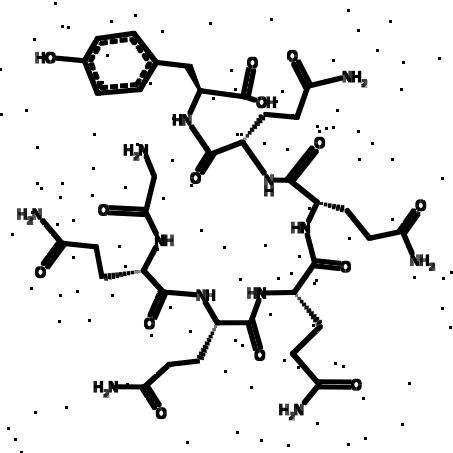 NCC(=O)N[C@@H](CCC(N)=O)C(=O)N[C@@H](CCC(N)=O)C(=O)N[C@@H](CCC(N)=O)C(=O)N[C@@H](CCC(N)=O)C(=O)N[C@@H](CCC(N)=O)C(=O)N[C@@H](Cc1ccc(O)cc1)C(=O)O